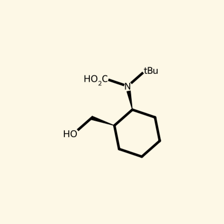 CC(C)(C)N(C(=O)O)[C@H]1CCCC[C@H]1CO